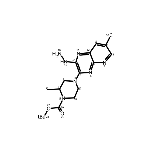 CC1CN(c2nc3ncc(Cl)cc3nc2NN)CCN1C(=O)OC(C)(C)C